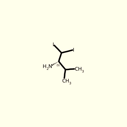 CC(C)[C@H](N)C(I)I